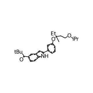 CCC(C)(CCOC(C)C)Oc1cccc(-c2cc3cc(C(=O)C(C)(C)C)ccc3[nH]2)c1